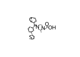 CC1CN([C@H](c2ccccc2)c2cccc(-c3cccs3)c2)CCN1CC(=O)O